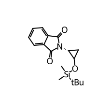 CC(C)(C)[Si](C)(C)OC1C[C@H]1N1C(=O)c2ccccc2C1=O